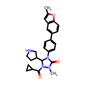 Cc1cc2cc(-c3ccc(N4C(=O)N(C)N(C(=O)C5CC5)C4C4CCNC4)cc3)ccc2o1